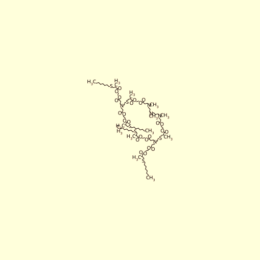 CCCCCCCCSCC(C)C(=O)OCCOC(=O)CCN(CCSCC(C)C(=O)OCCOC(=O)CCN(C)CCCN(C)CCCN(C)CCC(=O)OCCOC(=O)C(C)CSCCN(CCC(=O)OCCOC(=O)C(C)CSCCCCCCCC)CCC(=O)OCCOC(=O)C(C)CSCCCCCCCC)CCC(=O)OCCOC(=O)C(C)CSCCCCCCCC